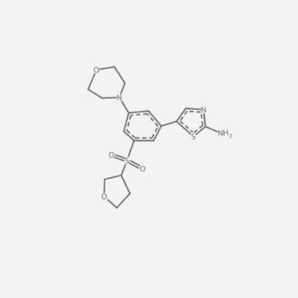 Nc1ncc(-c2cc(N3CCOCC3)cc(S(=O)(=O)C3CCOC3)c2)s1